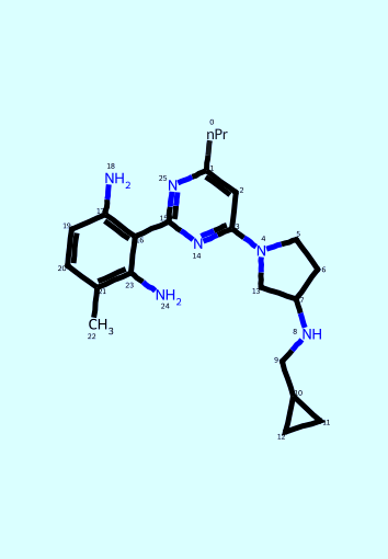 CCCc1cc(N2CCC(NCC3CC3)C2)nc(-c2c(N)ccc(C)c2N)n1